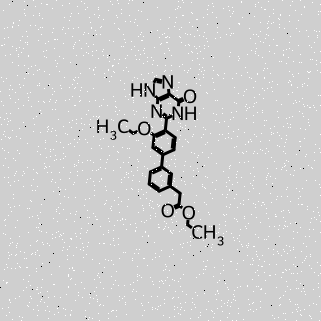 CCOC(=O)Cc1cccc(-c2ccc(-c3nc4[nH]cnc4c(=O)[nH]3)c(OCC)c2)c1